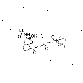 CCC(=O)NC1Cc2cccc(C(=O)OCOC(=O)CCC(=O)N(C)C)c2OB1O